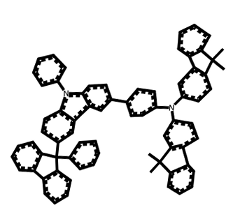 CC1(C)c2ccccc2-c2cc(N(c3ccc(-c4ccc5c(c4)c4cc(C6(c7ccccc7)c7ccccc7-c7ccccc76)ccc4n5-c4ccccc4)cc3)c3ccc4c(c3)C(C)(C)c3ccccc3-4)ccc21